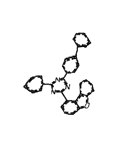 c1ccc(-c2ccc(-c3nc(-c4ccccc4)nc(-c4cccc5oc6ccccc6c45)n3)cc2)cc1